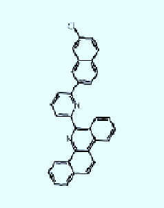 Clc1ccc2ccc(-c3cccc(-c4nc5c6ccccc6ccc5c5ccccc45)n3)cc2c1